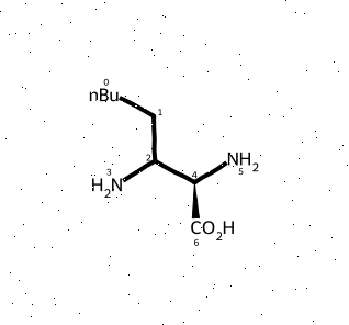 CCCCCC(N)[C@@H](N)C(=O)O